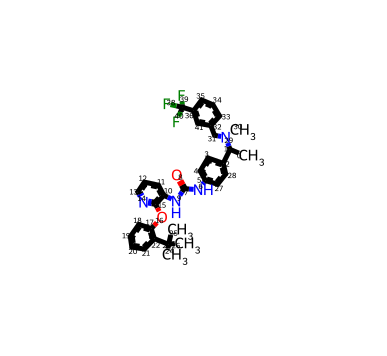 CC(c1ccc(NC(=O)Nc2cccnc2Oc2ccccc2C(C)(C)C)cc1)N(C)Cc1cccc(C(F)(F)F)c1